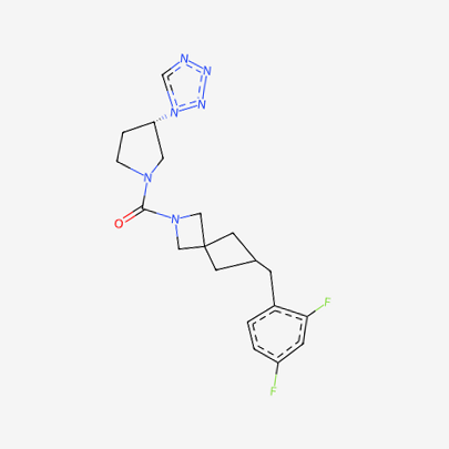 O=C(N1CC[C@H](n2cnnn2)C1)N1CC2(CC(Cc3ccc(F)cc3F)C2)C1